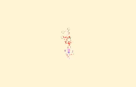 CC(=O)O[C@H]1C(=O)[C@@]2(C)C([C@H](OC(=O)c3ccccc3)[C@]3(O)C[C@H](OC(=O)[C@H](O)[C@@H](NC(=O)c4ccccc4)c4ccccc4)C(C)=C1C3(C)C)[C@]1(OC(C)=O)CO[C@@H]1C[C@@H]2OC(=O)CCCNC(=O)[C@@H](CC(C)C)NC(=O)[C@@H](CC(N)=O)NC(=O)[C@@H](C)NC(=O)[C@@H](C)NC[C@@H](O)CCC(O)O